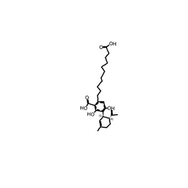 C=C(C)[C@@H]1CCC(C)=C[C@H]1c1c(O)cc(CCCCCCCCCCC(=O)O)c(C(=O)O)c1O